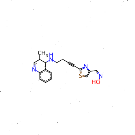 CC1C=Nc2ccccc2C1NCCC#Cc1nc(/C=N\O)cs1